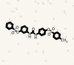 Cc1ccc(S(=O)(=O)Oc2ccc(NC(=O)Nc3cccc(OS(=O)(=O)c4ccccc4)c3)cc2)cc1